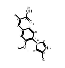 COc1cc(C=C(C)C(=O)O)ccc1-n1cnc(C)c1